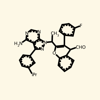 CC(C)c1cccc(-c2nn(C(C)C3=C(c4cccc(F)c4)C(C=O)c4ccccc4O3)c3ncnc(N)c23)c1